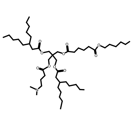 CCCCCCOC(=O)CCCCC(=O)OCC(COC(=O)CCCN(C)C)(COC(=O)CC(CCCCC)CCCCC)COC(=O)CC(CCCCC)CCCCC